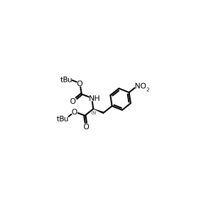 CC(C)(C)OC(=O)N[C@@H](Cc1ccc([N+](=O)[O-])cc1)C(=O)OC(C)(C)C